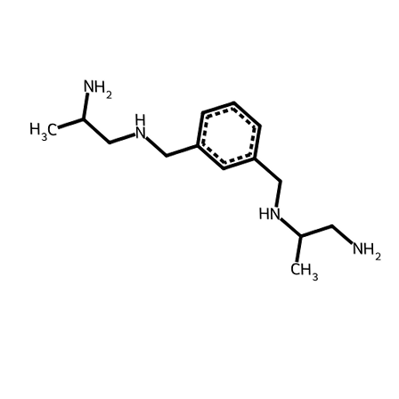 CC(N)CNCc1cccc(CNC(C)CN)c1